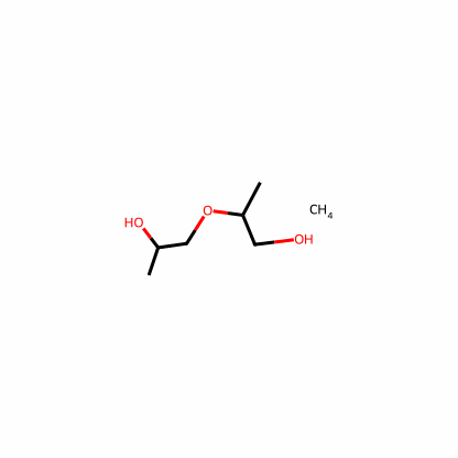 C.CC(O)COC(C)CO